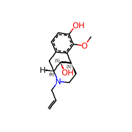 C=CCN1CC[C@]23CCCC[C@@]2(O)[C@H]1Cc1ccc(O)c(OC)c13